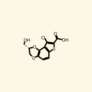 O=C(O)c1sc2ccc3c(c2c1Cl)O[C@@H](CO)CO3